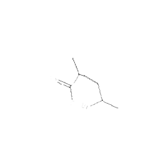 CC(Br)CC(C)C(=O)Cl